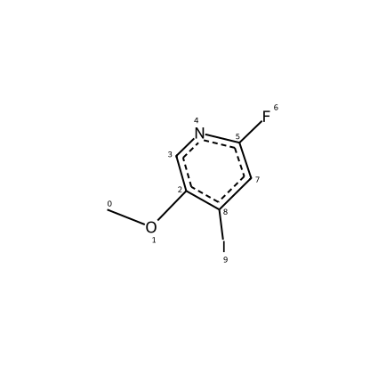 COc1cnc(F)cc1I